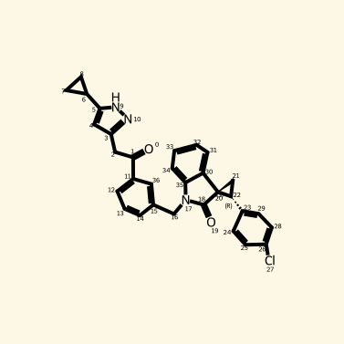 O=C(Cc1cc(C2CC2)[nH]n1)c1cccc(CN2C(=O)[C@]3(C[C@@H]3c3ccc(Cl)cc3)c3ccccc32)c1